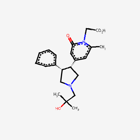 Cc1cc([C@@H]2CN(CC(C)(C)O)C[C@@H]2c2ccccc2)cc(=O)n1CC(=O)O